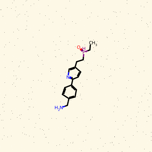 CC[PH](=O)CCc1ccc(-c2ccc(CN)cc2)nc1